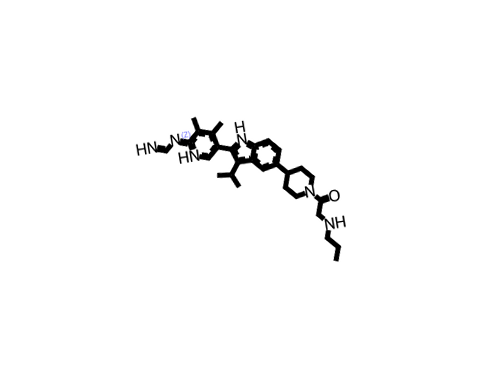 CCCNCC(=O)N1CCC(c2ccc3[nH]c(-c4c[nH]/c(=N\C=N)c(C)c4C)c(C(C)C)c3c2)CC1